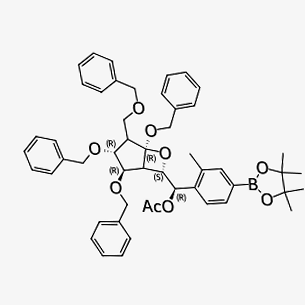 CC(=O)O[C@H](c1ccc(B2OC(C)(C)C(C)(C)O2)cc1C)[C@H]1O[C@]2(OCc3ccccc3)C(COCc3ccccc3)[C@@H](OCc3ccccc3)[C@H](OCc3ccccc3)C12